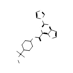 COC(C)(C)C1CCC(NC(=O)c2nc(-n3ccnc3)nc3cc[nH]c23)CC1